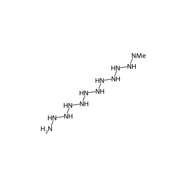 CNNNNNNNNNNNN